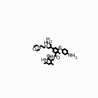 Cc1c(C(=O)NCC2C(=O)NC(C)CC2C)cc(C(CN)CNCCN2CCOCC2)cc1N(C)[C@H]1CC[C@H](N)CC1